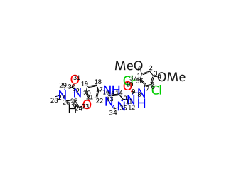 COc1cc(OC)c(Cl)c(NC(=O)N(C)c2cc(Nc3ccc4c(c3)OC[C@@H]3CN(C)CC(=O)N43)ncn2)c1Cl